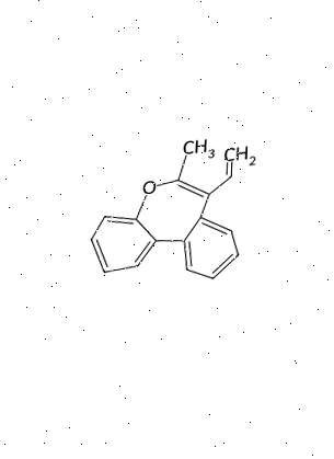 C=CC1=C(C)Oc2ccccc2-c2ccccc21